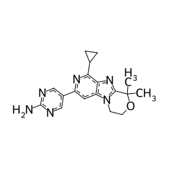 CC1(C)OCCn2c1nc1c(C3CC3)nc(-c3cnc(N)nc3)cc12